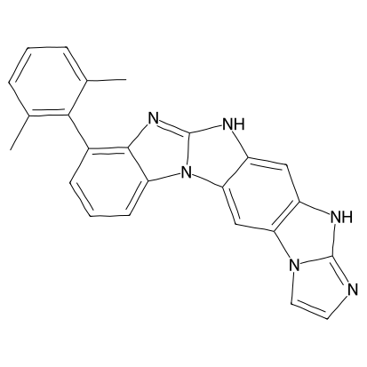 Cc1cccc(C)c1-c1cccc2c1nc1[nH]c3cc4[nH]c5nccn5c4cc3n12